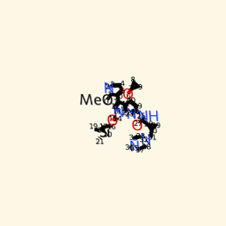 COc1nccc(OC2CC2)c1-c1cn(COCC[Si](C)(C)C)c2nc(NC(=O)C3CC3CN3CCN(C)CC3)ccc12